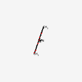 CCCCCCCCCCCCCCCCN(CCCCCCCCCCCCCCCC)C(=O)CC#N